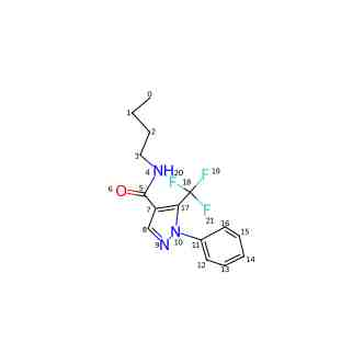 CCCCNC(=O)c1cnn(-c2ccccc2)c1C(F)(F)F